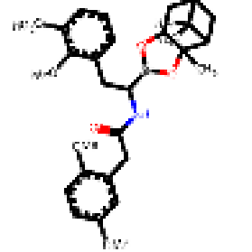 COc1ccc(OC)c(CC(=O)NC(Cc2cccc(C(=O)O)c2OC)B2OC3CC4CC(C4(C)C)C3(C)O2)c1